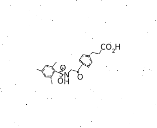 Cc1cc(C)c(S(=O)(=O)NCC(=O)c2ccc(CCC(=O)O)cc2)c(C)c1